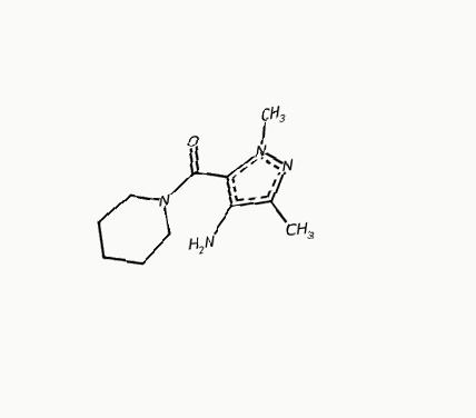 Cc1nn(C)c(C(=O)N2CCCCC2)c1N